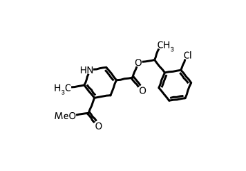 COC(=O)C1=C(C)NC=C(C(=O)OC(C)c2ccccc2Cl)C1